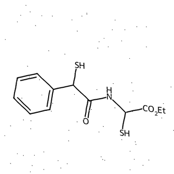 CCOC(=O)C(S)NC(=O)C(S)c1ccccc1